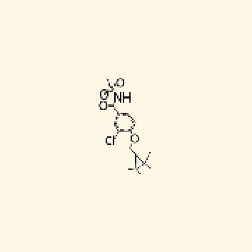 CC1(C)C(COc2ccc(C(=O)NS(C)(=O)=O)cc2Cl)C1(C)C